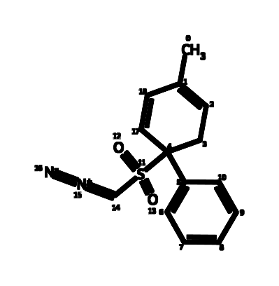 CC1=CCC(c2ccccc2)(S(=O)(=O)C=[N+]=[N-])C=C1